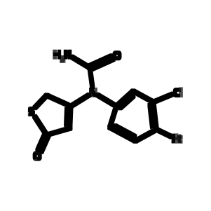 CCc1ccc(N(C(N)=O)C2=CC(=O)SC2)cc1Cl